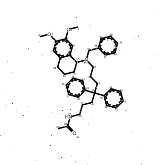 COc1cc2c(cc1OC)C(N(CCCC(CCCNC(C)=O)(c1ccccc1)c1ccccc1)Cc1ccccc1)CCC2